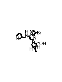 C=C1[C@H]2[C@@H]1CN(c1cc(NCc3cccnc3)n3ncc(Br)c3n1)[C@@H]2CO